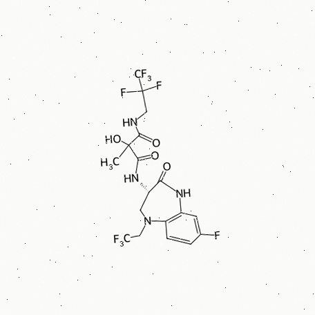 CC(O)(C(=O)NCC(F)(F)C(F)(F)F)C(=O)N[C@H]1CN(CC(F)(F)F)c2ccc(F)cc2NC1=O